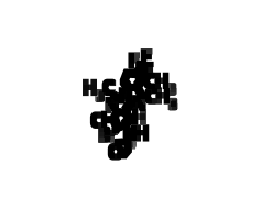 Cc1nc(NC(C)c2cccc(C(F)(F)F)c2C)c2cc(N[C@H]3CCOC3)c(Br)c(Cl)c2n1